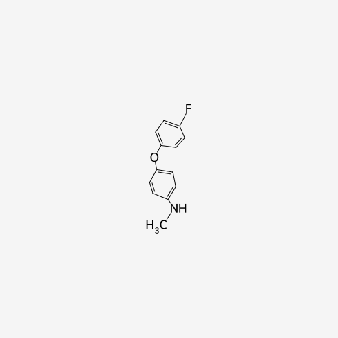 CNc1ccc(Oc2ccc(F)cc2)cc1